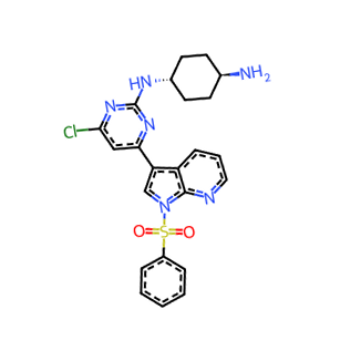 N[C@H]1CC[C@H](Nc2nc(Cl)cc(-c3cn(S(=O)(=O)c4ccccc4)c4ncccc34)n2)CC1